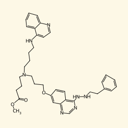 COC(=O)CCCN(CCCCNc1ccnc2ccccc12)CCCOc1ccc2c(NNCCc3ccccc3)ncnc2c1